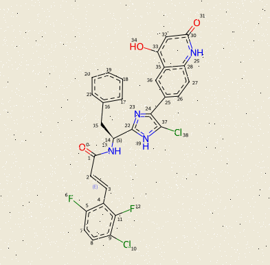 O=C(/C=C/c1c(F)ccc(Cl)c1F)N[C@@H](Cc1ccccc1)c1nc(-c2ccc3[nH]c(=O)cc(O)c3c2)c(Cl)[nH]1